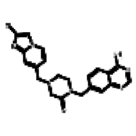 Nc1ncnc2cc(CN3CCN(Cc4ccn5cc(Cl)nc5c4)CC3=O)ccc12